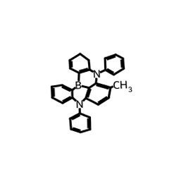 Cc1ccc2c3c1N(c1ccccc1)C1=C(C=CCC1)B3c1ccccc1N2c1ccccc1